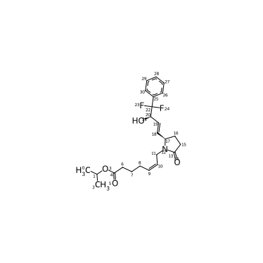 CC(C)OC(=O)CCC/C=C\CN1C(=O)CC[C@@H]1/C=C/[C@@H](O)C(F)(F)c1ccccc1